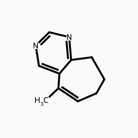 CC1=CCCCc2ncncc21